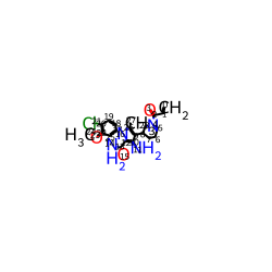 C=CC(=O)N1CCCC(c2c(N)c(C(N)=O)n(-c3ccc(Cl)c(OC)c3)c2C)C1